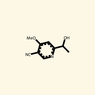 COc1cc(C(C)O)ncc1C#N